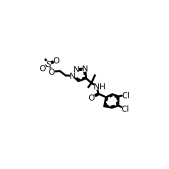 CC(C)(NC(=O)c1ccc(Cl)c(Cl)c1)c1cn(CCOS(C)(=O)=O)nn1